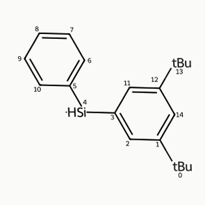 CC(C)(C)c1cc([SiH]c2ccccc2)cc(C(C)(C)C)c1